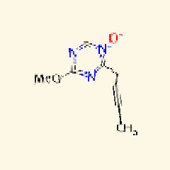 CC#CCc1nc(OC)nc[n+]1[O-]